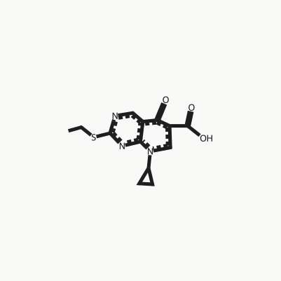 CCSc1ncc2c(=O)c(C(=O)O)cn(C3CC3)c2n1